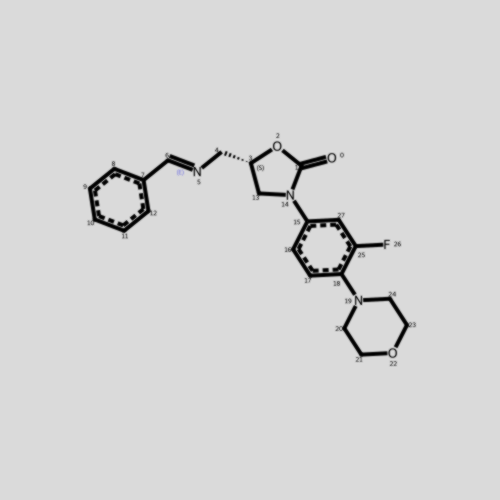 O=C1O[C@@H](C/N=C/c2ccccc2)CN1c1ccc(N2CCOCC2)c(F)c1